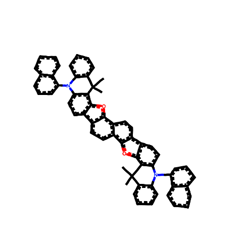 CC1(C)c2ccccc2N(c2cccc3ccccc23)c2ccc3c(oc4c3ccc3c4ccc4c5ccc6c(c5oc43)C(C)(C)c3ccccc3N6c3cccc4ccccc34)c21